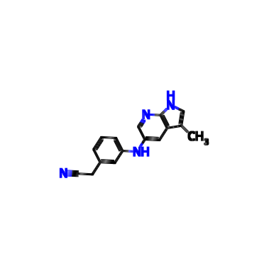 Cc1c[nH]c2ncc(Nc3cccc(CC#N)c3)cc12